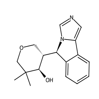 CC1(C)COC[C@H]([C@@H]2c3ccccc3-c3cncn32)[C@H]1O